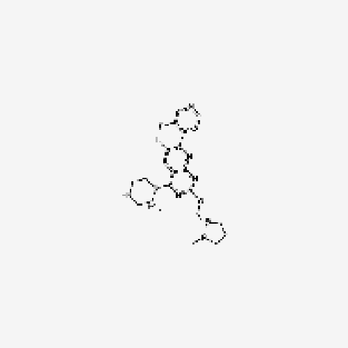 C[C@@H]1CNCCN1c1nc(OC[C@@H]2CCCN2C)nc2nc(-c3ccncc3F)c(F)cc12